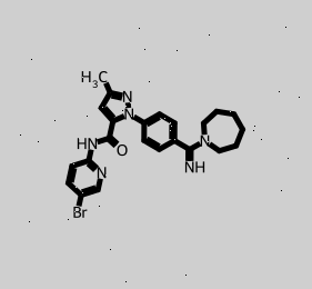 Cc1cc(C(=O)Nc2ccc(Br)cn2)n(-c2ccc(C(=N)N3CCCCCC3)cc2)n1